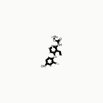 C=Cc1c(Oc2ccc(N=O)cc2F)ccnc1NC(=O)OC(C)(C)C